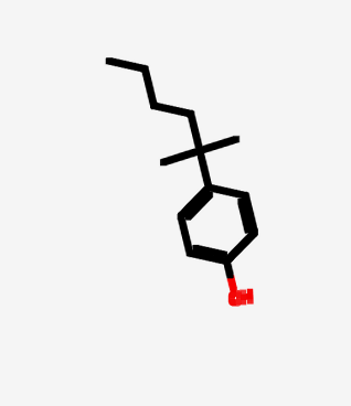 CCCCC(C)(C)c1ccc(O)cc1